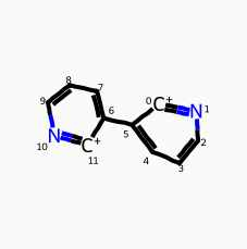 [C+]1=NC=CC=C1C1=CC=CN=[C+]1